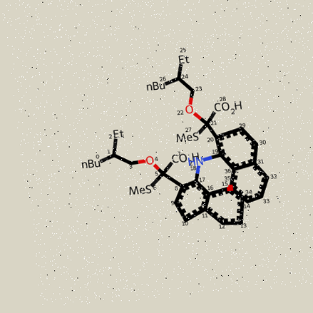 CCCCC(CC)COC(SC)(C(=O)O)c1ccc2ccccc2c1Nc1c(C(OCC(CC)CCCC)(SC)C(=O)O)ccc2ccccc12